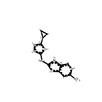 FC(F)(F)c1cc2oc(Nc3nnc(C4CC4)o3)nc2cn1